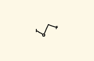 FCOI